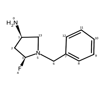 N[C@@H]1C[C@H](F)N(Cc2ccccc2)C1